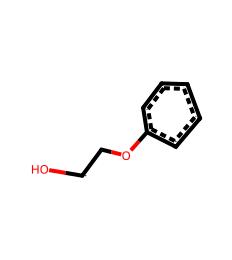 O[CH]COc1ccccc1